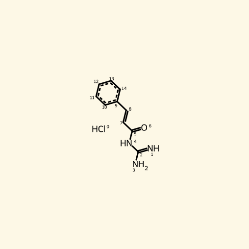 Cl.N=C(N)NC(=O)C=Cc1ccccc1